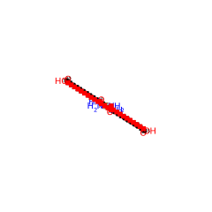 NC(CSSCC(N)C(=O)NCCCCCCCCCCCCCCCCCCC(=O)O)C(=O)NCCCCCCCCCCCCCCCCCCC(=O)O